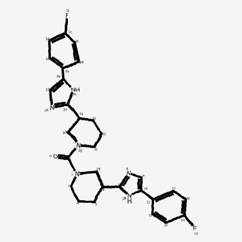 O=C(N1CCCC(c2ncc(-c3ccc(F)cc3)[nH]2)C1)N1CCCC(c2ncc(-c3ccc(F)cc3)[nH]2)C1